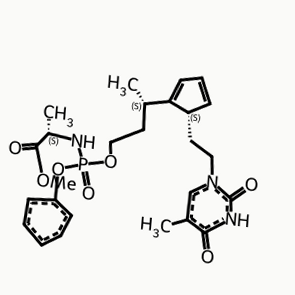 COC(=O)[C@H](C)NP(=O)(OCC[C@H](C)C1=CC=C[C@@H]1CCn1cc(C)c(=O)[nH]c1=O)Oc1ccccc1